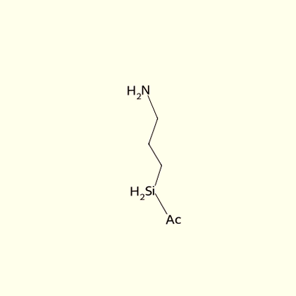 CC(=O)[SiH2]CCCN